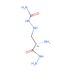 NNC(=O)[C@@H](N)CNNC(N)=O